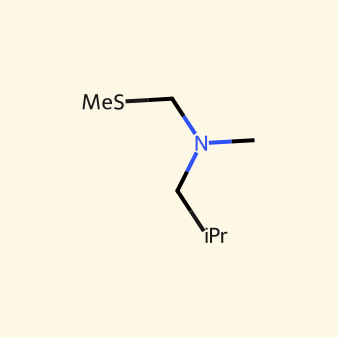 CSCN(C)CC(C)C